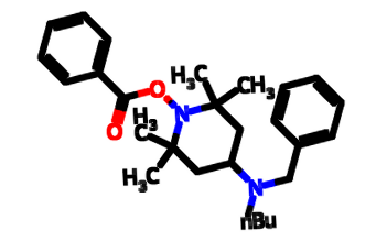 CCCCN(Cc1ccccc1)C1CC(C)(C)N(OC(=O)c2ccccc2)C(C)(C)C1